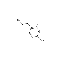 Cc1cc(O)ccc1CCBr